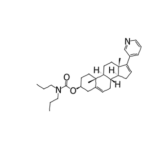 CCCN(CCC)C(=O)O[C@H]1CC[C@@]2(C)C(=CC[C@@H]3[C@@H]2CC[C@]2(C)C(c4cccnc4)=CC[C@@H]32)C1